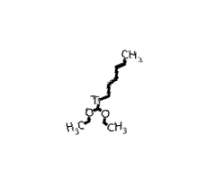 CCCCC[CH2][Ti][CH](OCC)OCC